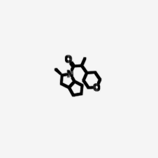 CC(C(=O)N1C2CCCC2C[C@H]1C)C1CCOCC1